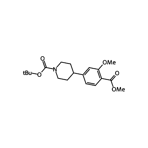 COC(=O)c1ccc(C2CCN(C(=O)OC(C)(C)C)CC2)cc1OC